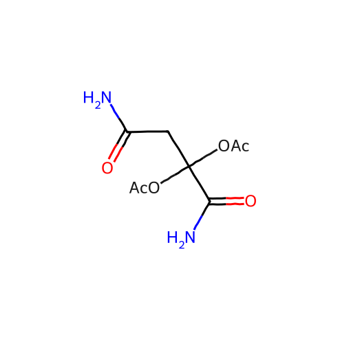 CC(=O)OC(CC(N)=O)(OC(C)=O)C(N)=O